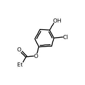 CCC(=O)Oc1ccc(O)c(Cl)c1